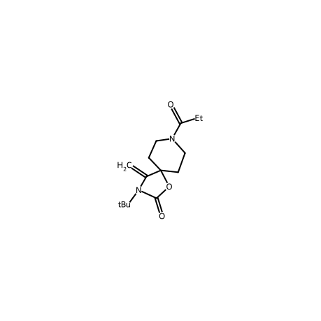 C=C1N(C(C)(C)C)C(=O)OC12CCN(C(=O)CC)CC2